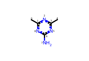 Cc1nc(C)nc(N)n1